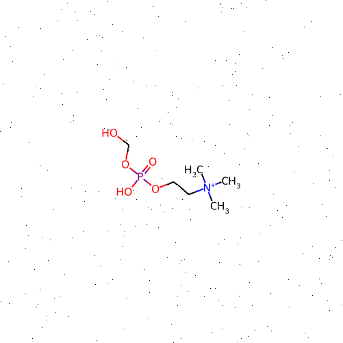 C[N+](C)(C)CCOP(=O)(O)OCO